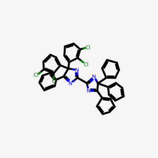 Clc1cccc(C2(c3cccc(Cl)c3Cl)N=C(C3=NC(c4ccccc4)(c4ccccc4)C(c4ccccc4)=N3)N=C2c2ccccc2)c1Cl